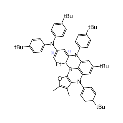 C/C=C(\C=C1/C(CC)B2c3oc(C)c(C)c3N(C3=CCC(C(C)(C)C)C=C3)c3cc(C(C)(C)C)cc(c32)N1c1ccc(C(C)(C)C)cc1)N(c1ccc(C(C)(C)C)cc1)c1ccc(C(C)(C)C)cc1